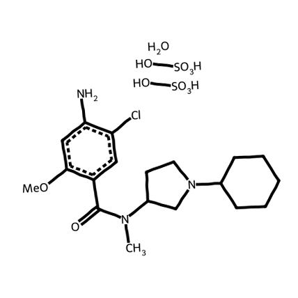 COc1cc(N)c(Cl)cc1C(=O)N(C)C1CCN(C2CCCCC2)C1.O.O=S(=O)(O)O.O=S(=O)(O)O